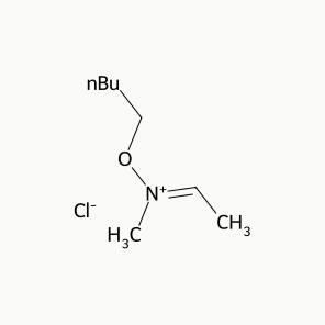 CC=[N+](C)OCCCCC.[Cl-]